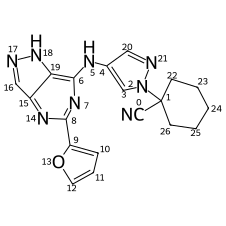 N#CC1(n2cc(Nc3nc(-c4ccco4)nc4cn[nH]c34)cn2)CCCCC1